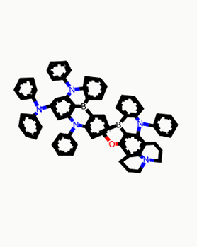 c1ccc(N(c2ccccc2)c2cc3c4c(c2)N(c2ccccc2)c2cc5c(cc2B4c2ccccc2N3c2ccccc2)B2c3ccccc3N(c3ccccc3)c3c4c6c(c(c32)O5)CCCN6CCC4)cc1